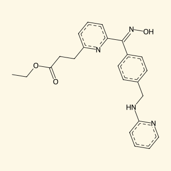 CCOC(=O)CCc1cccc(C(=NO)c2ccc(CNc3ccccn3)cc2)n1